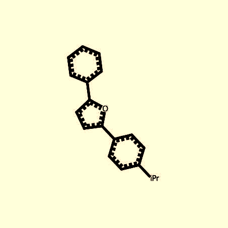 CC(C)c1ccc(-c2ccc(-c3ccccc3)o2)cc1